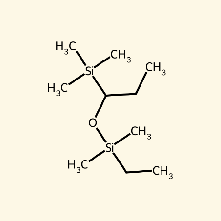 CCC(O[Si](C)(C)CC)[Si](C)(C)C